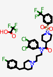 O=C(C1CCN(S(=O)(=O)c2cccc(C(F)(F)F)c2)CC1)N(CCCN1CCC(Cc2ccc(F)cc2)CC1)c1ccc(Cl)c(Cl)c1.O=C(O)C(F)(F)F